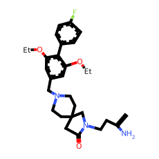 C=C(N)CCN1CC2(CCN(Cc3cc(OCC)c(-c4ccc(F)cc4)c(OCC)c3)CC2)CC1=O